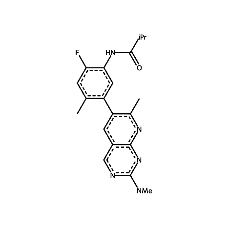 CNc1ncc2cc(-c3cc(NC(=O)C(C)C)c(F)cc3C)c(C)nc2n1